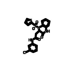 O=C(CC1C(=O)Nc2ccccc2N1S(=O)(=O)c1cccs1)Nc1cccc(Cl)c1